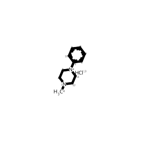 CN1CCN(c2ccccc2)CC1.Cl